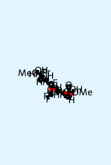 COC(O)N[C@@H](C(C)C)[C@H](O)N1CCC[C@H]1C1=NCC([C@@H]2C=C(F)[C@H]3C(C2)OC(c2ccc(C(F)F)s2)N2C4CC=C([C@H]5CN=C([C@@]6(C)CC(C)C(C)(C)N6C(O)C(N[C@H](O)OC)C6C[C@@H](C)O[C@@H](C)C6)N5)C[C@H]4C[C@@H]32)N1